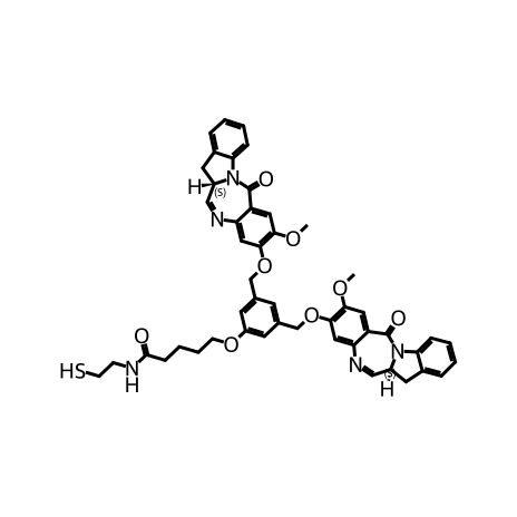 COc1cc2c(cc1OCc1cc(COc3cc4c(cc3OC)C(=O)N3c5ccccc5C[C@H]3C=N4)cc(OCCCCC(=O)NCCS)c1)N=C[C@@H]1Cc3ccccc3N1C2=O